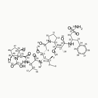 CC[C@H](C)[C@@H]([C@@H](CC(=O)N1CCCC1[C@H](OC)[C@@H](C)C(=O)NC(Cc1ccccc1)CS(N)(=O)=O)OC)N(C)C(=O)C(NC(=O)[C@@H]1[C@H]2CC[C@H](C2)N1C(=O)O)C(C)C